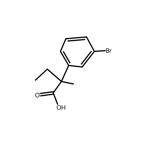 CCC(C)(C(=O)O)c1cccc(Br)c1